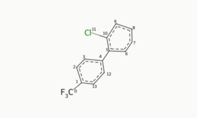 FC(F)(F)c1ccc(-c2ccccc2Cl)cc1